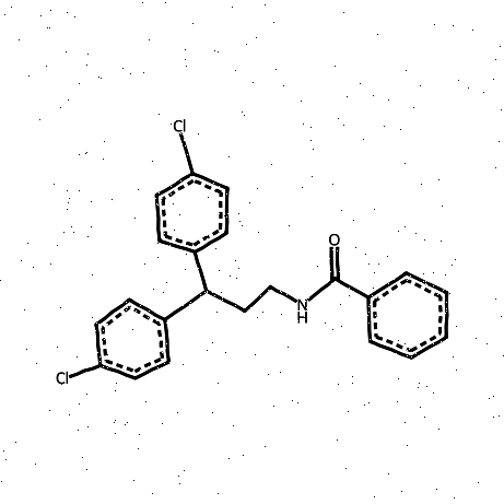 O=C(NCCC(c1ccc(Cl)cc1)c1ccc(Cl)cc1)c1ccccc1